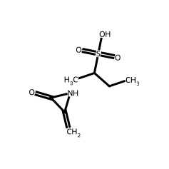 C=C1NC1=O.CCC(C)S(=O)(=O)O